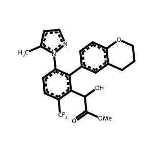 COC(=O)C(O)c1c(C(F)(F)F)ccc(-n2nccc2C)c1-c1ccc2c(c1)CCCO2